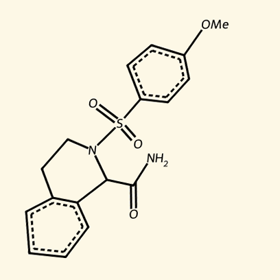 COc1ccc(S(=O)(=O)N2CCc3ccccc3C2C(N)=O)cc1